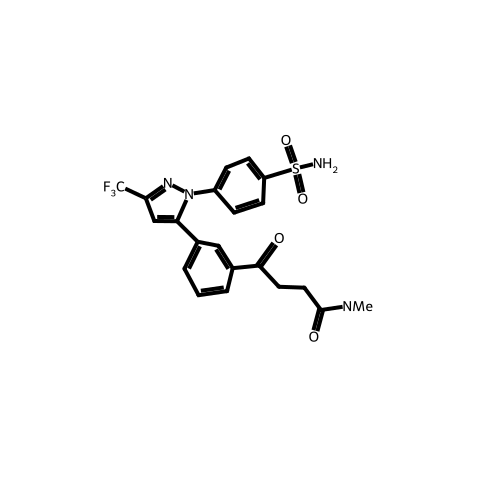 CNC(=O)CCC(=O)c1cccc(-c2cc(C(F)(F)F)nn2-c2ccc(S(N)(=O)=O)cc2)c1